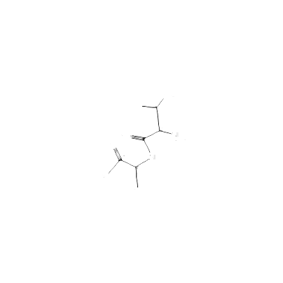 CCCCC(C)C(N)C(=O)NC(C)C(=O)C(C)(C)C